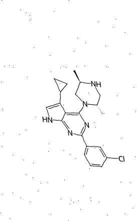 C[C@@H]1CN(c2nc(-c3cccc(Cl)c3)nc3[nH]cc(C4CC4)c23)[C@@H](C)CN1